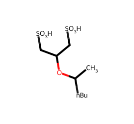 CCCCC(C)OC(CS(=O)(=O)O)CS(=O)(=O)O